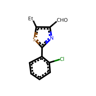 CCc1sc(-c2ccccc2Cl)nc1C=O